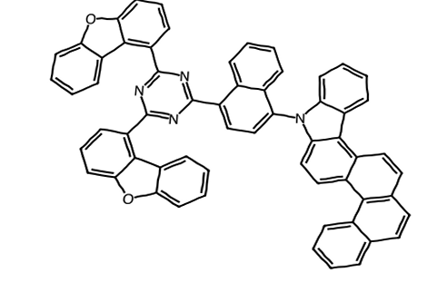 c1ccc2c(c1)ccc1ccc3c(ccc4c3c3ccccc3n4-c3ccc(-c4nc(-c5cccc6oc7ccccc7c56)nc(-c5cccc6oc7ccccc7c56)n4)c4ccccc34)c12